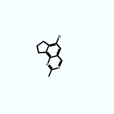 Cc1ncc2cc(Br)c3c(c2n1)CCC3